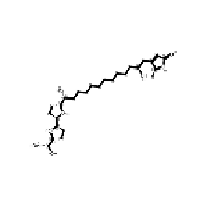 CCCCCCCCCC[C@@H](O)[C@H]1CC[C@H]([C@H]2CC[C@H]([C@H](O)CCCCCCCCCC[C@H](O)CC3=CC(=O)O[C@H]3C)O2)O1